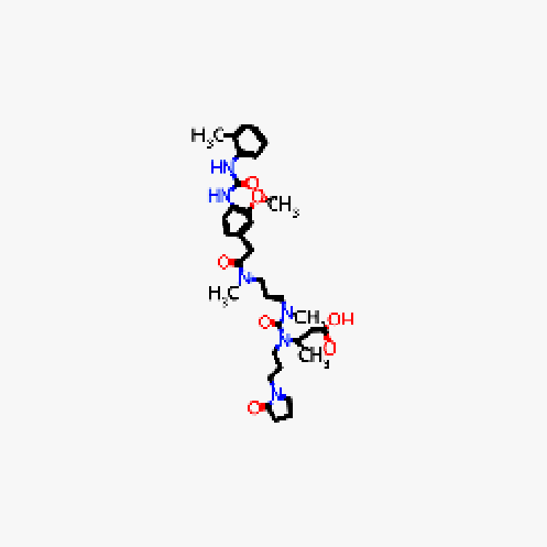 COc1cc(CC(=O)N(C)CCCN(C)C(=O)N(CCCN2CCCC2=O)C(C)CC(=O)O)ccc1NC(=O)Nc1ccccc1C